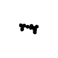 C1=CC2c3ccc(-c4ccc(-c5ccc(-c6cc(-c7ccccc7)nc(-c7ccccc7)n6)c6ccccc56)cc4)cc3N(c3ccccc3)C2C=C1